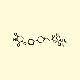 CC(C)(C)OC(=O)CCN1CCC(c2ccc(OC3CCC(=O)NC3=O)cc2)CC1